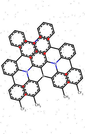 Cc1ccc2c(c1)B1c3cc(C)ccc3N(c3c(-c4ccccc4)cccc3-c3ccc(C(F)(F)F)cc3)c3cc(N(c4ccccc4)c4ccccc4)cc(c31)N2c1c(-c2ccccc2)cccc1-c1ccc(C(F)(F)F)cc1